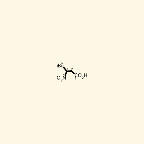 CCC(C)C(CC(=O)O)[N+](=O)[O-]